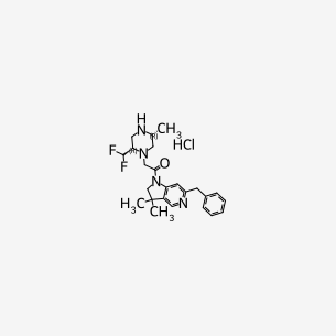 C[C@@H]1CN(CC(=O)N2CC(C)(C)c3cnc(Cc4ccccc4)cc32)[C@@H](C(F)F)CN1.Cl